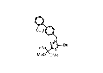 CCCCC(OC)(OC)c1nc(C(C)CC)n(Cc2ccc(-c3ccccc3C(=O)O)cc2)n1